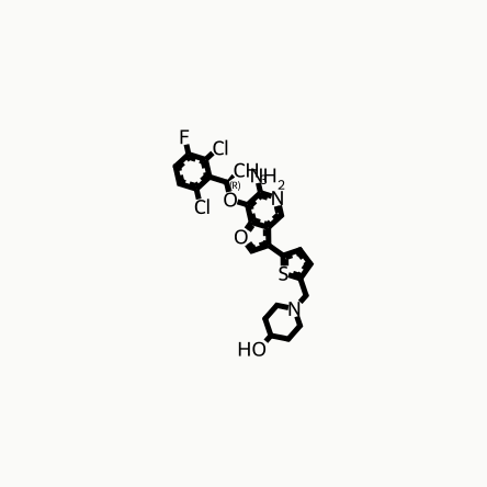 C[C@@H](Oc1c(N)ncc2c(-c3ccc(CN4CCC(O)CC4)s3)coc12)c1c(Cl)ccc(F)c1Cl